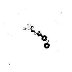 CC(C)(C)ON(C=O)CCOc1cc(-c2ccc(Oc3ccccc3)cc2)on1